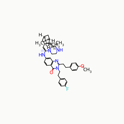 COc1ccc(CCc2nc3cc(N/C(=C/C4C[C@H]5C[C@@H]([C@@H]4C)C5(C)C)N4CCN[C@@H](C)C4)ccc3c(=O)n2CCc2ccc(F)cc2)cc1